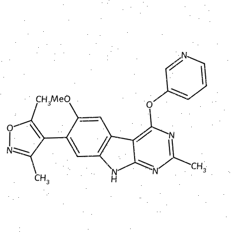 COc1cc2c(cc1-c1c(C)noc1C)[nH]c1nc(C)nc(Oc3cccnc3)c12